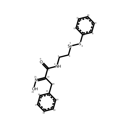 O=C(NCC[Se]Sc1ccccc1)/C(Cc1ccccc1)=N/O